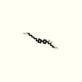 CCCCCCCCCc1ccc(-c2ccc(C(=O)CC(=O)CCCC)cc2)cc1